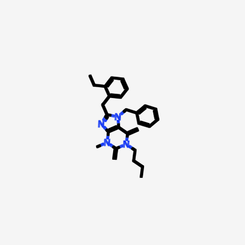 C=C1c2c(nc(Cc3ccccc3CC)n2Cc2ccccc2)N(C)C(=C)N1CCCC